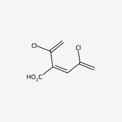 C=C(Cl)C=C(C(=C)Cl)C(=O)O